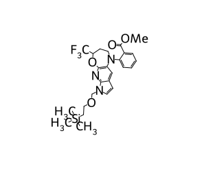 COC(=O)c1ccccc1N1CCC(C(F)(F)F)Oc2nc3c(ccn3COCC[Si](C)(C)C)cc21